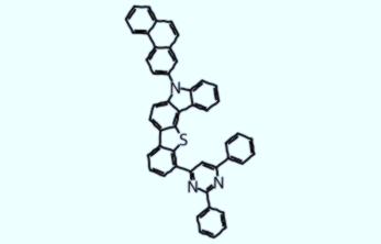 c1ccc(-c2cc(-c3cccc4c3sc3c4ccc4c3c3ccccc3n4-c3ccc4c(ccc5ccccc54)c3)nc(-c3ccccc3)n2)cc1